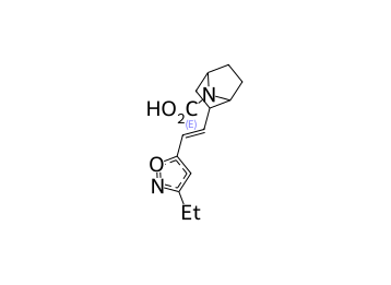 CCc1cc(/C=C/C2CC3CCC2N3C(=O)O)on1